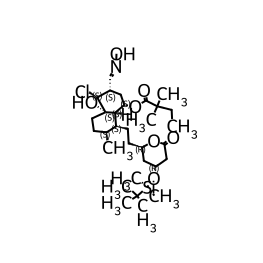 CCC(C)(C)C(=O)O[C@H]1C[C@@H](C=NO)[C@H](Cl)[C@]2(O)CC[C@H](C)[C@H](CC[C@@H]3C[C@@H](O[Si](C)(C)C(C)(C)C)CC(=O)O3)[C@@H]12